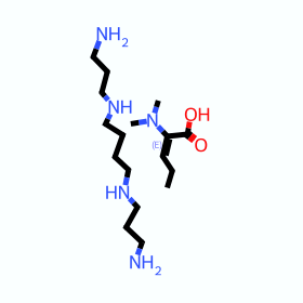 CC/C=C(\C(=O)O)N(C)C.NCCCNCCCCNCCCN